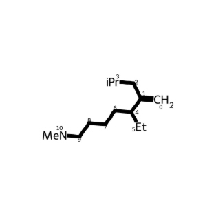 C=C(CC(C)C)C(CC)CCCCNC